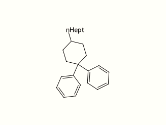 CCCCCCCC1CCC(c2ccccc2)(c2ccccc2)CC1